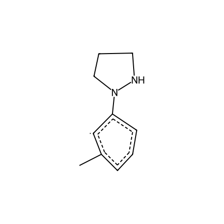 Cc1[c]c(N2CCCN2)ccc1